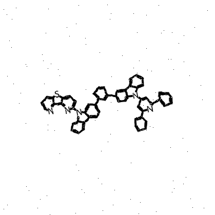 c1ccc(-c2cc(-n3c4ccccc4c4cc(-c5cccc(-c6ccc7c8ccccc8n(-c8ccc9sc%10cccnc%10c9n8)c7c6)c5)ccc43)cc(-c3ccccc3)n2)cc1